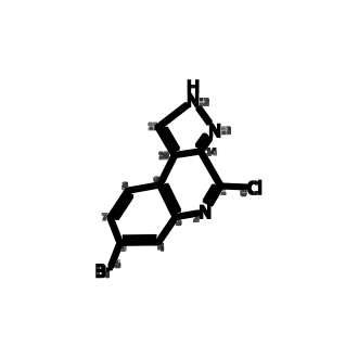 Clc1nc2cc(Br)ccc2c2c[nH]nc12